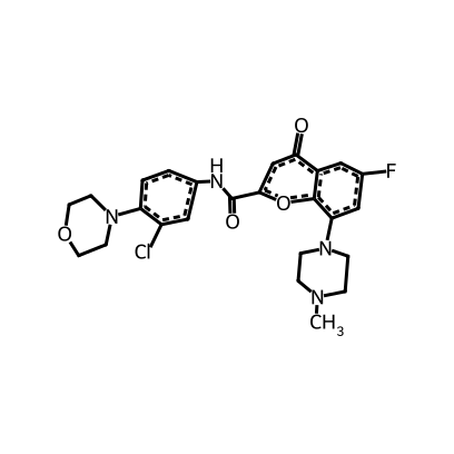 CN1CCN(c2cc(F)cc3c(=O)cc(C(=O)Nc4ccc(N5CCOCC5)c(Cl)c4)oc23)CC1